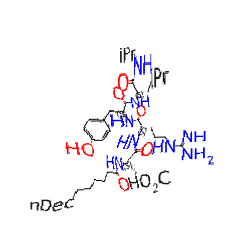 CCCCCCCCCCCCCCCC(=O)N[C@@H](CC(=O)O)C(=O)N[C@@H](CCCNC(=N)N)C(=O)N[C@@H](Cc1ccc(O)cc1)C(=O)N[C@@H](CC(C)C)C(=O)NC(C)C